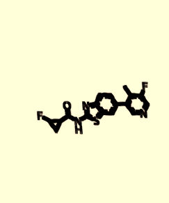 Cc1c(F)cncc1-c1ccc2nc(NC(=O)C3CC3F)sc2c1